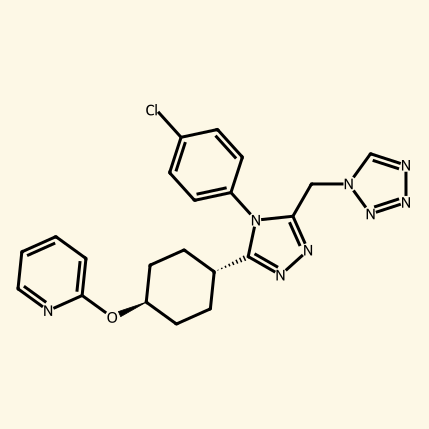 Clc1ccc(-n2c(Cn3cnnn3)nnc2[C@H]2CC[C@H](Oc3ccccn3)CC2)cc1